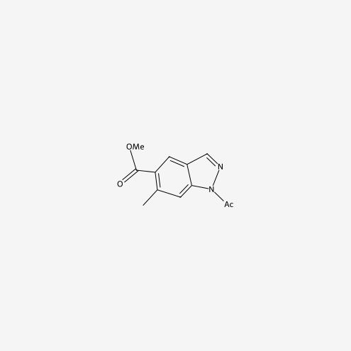 COC(=O)c1cc2cnn(C(C)=O)c2cc1C